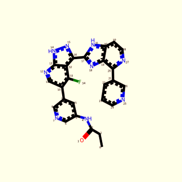 CCC(=O)Nc1cncc(-c2cnc3[nH]nc(-c4nc5c(-c6cccnc6)nccc5[nH]4)c3c2F)c1